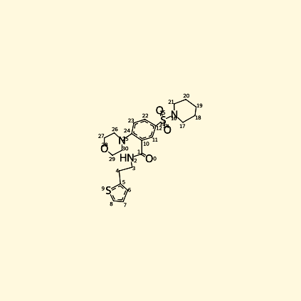 O=C(NCCc1cccs1)c1cc(S(=O)(=O)N2CCCCC2)ccc1N1CCOCC1